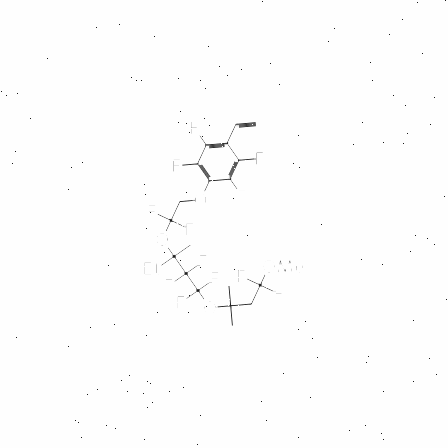 C=Cc1c(F)c(F)c(OCC(F)(F)OC(C)(CC)C(F)(F)C(F)(F)OC(C)(C)CC(F)(F)OC)c(F)c1F